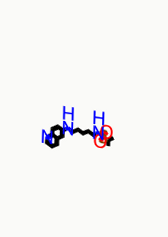 CC(C)S(=O)(=O)NCCCCCNc1ccc2ncccc2c1